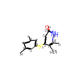 CCc1c(Sc2cc(C)cc(C)c2)cc(=O)[nH]c1C